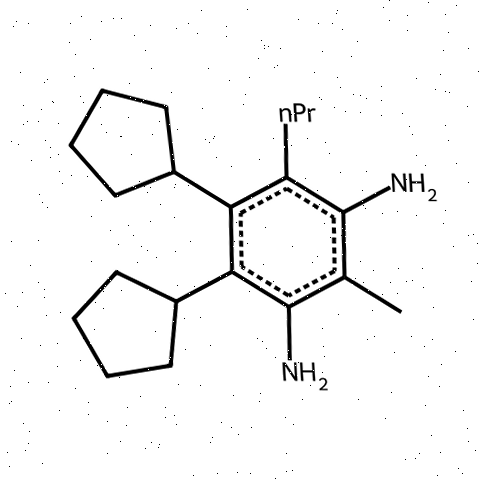 CCCc1c(N)c(C)c(N)c(C2CCCC2)c1C1CCCC1